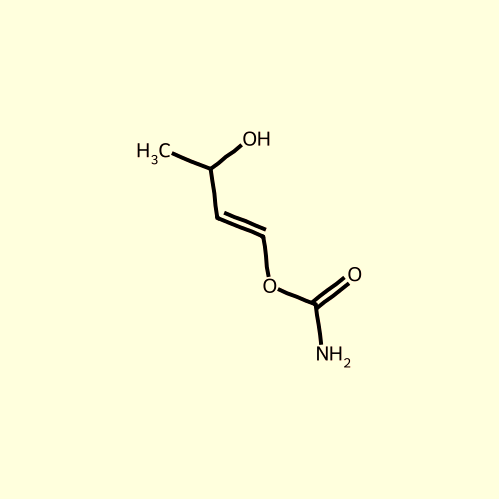 CC(O)C=COC(N)=O